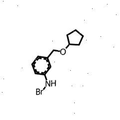 BrNc1cccc(COC2CCCC2)c1